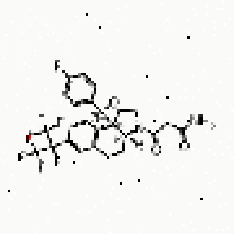 NC(=O)CC(=O)N1CC[C@@]2(S(=O)(=O)c3ccc(F)cc3)c3ccc(C(F)(C(F)(F)F)C(F)(F)F)cc3CC[C@@H]12